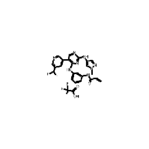 C=CC(=O)Nc1cccc(Nc2nc(Nc3cnn(C)c3)ncc2-c2cncc(C(F)F)c2)c1.O=C(O)C(F)(F)F